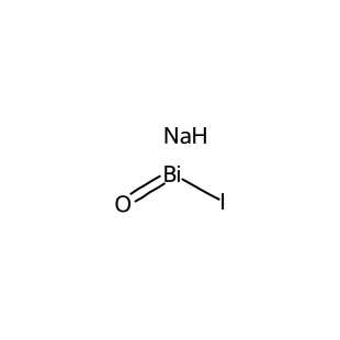 [NaH].[O]=[Bi][I]